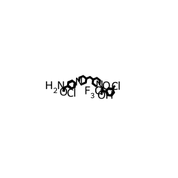 NC(=O)c1ccc(N2CCC(CC3CCN(C(=O)[C@](O)(c4cccc(Cl)c4)C(F)(F)F)CC3)CC2)cc1Cl